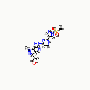 CC(C)n1nc(C2=CCOC2)c2cnc(Nc3ccnc(-c4cnn(S(=O)(=O)C5CC5)c4)n3)cc21